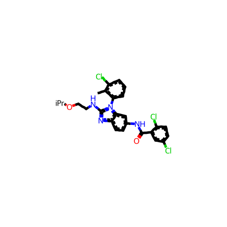 Cc1c(Cl)cccc1-n1c(NCCOC(C)C)nc2ccc(NC(=O)c3cc(Cl)ccc3Cl)cc21